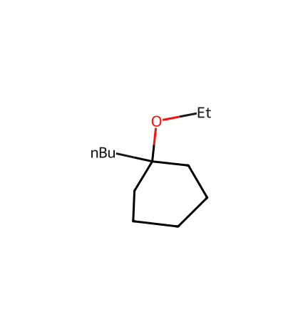 CCCCC1(OCC)CCCCC1